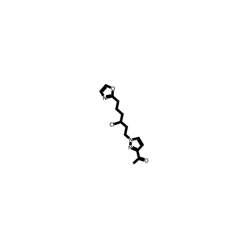 CC(=O)c1ccn(CCC(Cl)CCCc2ncco2)n1